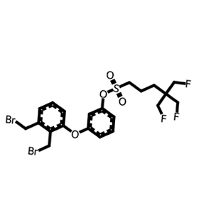 O=S(=O)(CCCC(CF)(CF)CF)Oc1cccc(Oc2cccc(CBr)c2CBr)c1